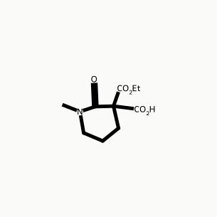 CCOC(=O)C1(C(=O)O)CCCN(C)C1=O